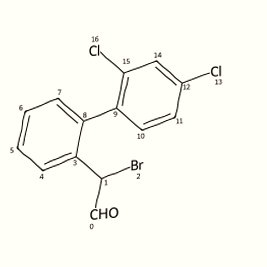 O=CC(Br)c1ccccc1-c1ccc(Cl)cc1Cl